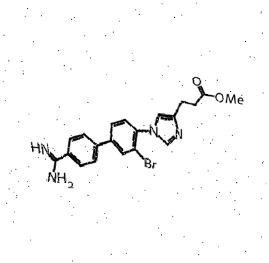 COC(=O)CCc1cn(-c2ccc(-c3ccc(C(=N)N)cc3)cc2Br)cn1